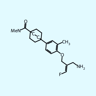 CNC(=O)C12CCC(c3ccc(OC/C(=C\F)CN)c(C)c3)(CC1)CC2